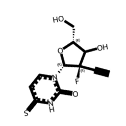 C#C[C@@]1(F)C(O)[C@@H](CO)O[C@H]1n1ccc(=S)[nH]c1=O